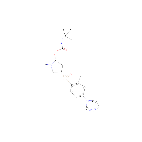 CC(=O)N1C[C@H](S(=O)(=O)c2ccc(-n3ccnc3)cc2C(F)(F)F)C[C@@H]1OC(=O)NC1(C#N)CC1